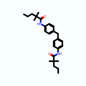 CCCC(C)(C)C(=O)Nc1ccc(Cc2ccc(NC(=O)C(C)(C)CCC)cc2)cc1